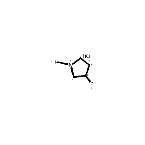 Cl.FC1CCN(I)C1